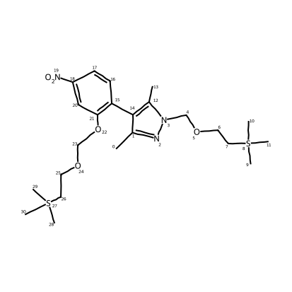 Cc1nn(COCCS(C)(C)C)c(C)c1-c1ccc([N+](=O)[O-])cc1OCOCCS(C)(C)C